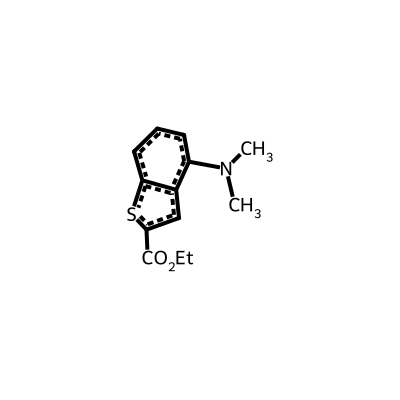 CCOC(=O)c1cc2c(N(C)C)cccc2s1